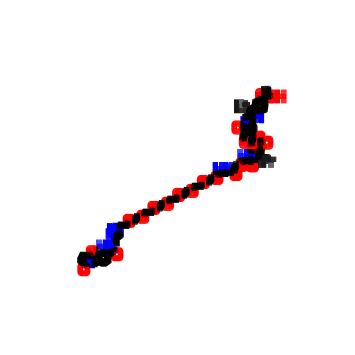 CCc1c2c(nc3ccc(OB(C)O)cc13)-c1cc3c(c(=O)n1C2)COC(=O)C3OC(=O)OCC(NC(=O)COCC(=O)NCCOCCOCCOCCOCCOCCOCCOCCOCCn1cc(CNC(=O)C2CCC(CN3C(=O)C=CC3=O)CC2)nn1)C(C)C